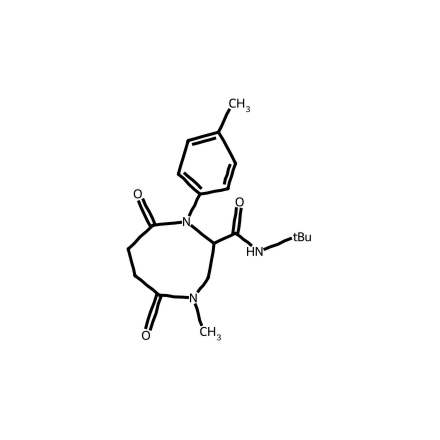 Cc1ccc(N2C(=O)CCC(=O)N(C)CC2C(=O)NC(C)(C)C)cc1